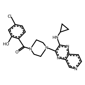 O=C(c1ccc(Cl)cc1O)N1CCN(c2nc3cnccc3nc2NC2CC2)CC1